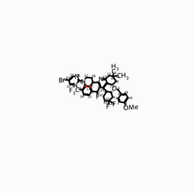 COc1ccc(CO[C@H]2CC(C)(C)Cc3nc(C4CCN(c5ncc(Br)cn5)CC4)c(C(F)c4ccc(C(F)(F)F)cc4)c(C4CCC(F)(F)CC4)c32)cc1